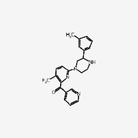 Cc1cccc(C2CN(c3ccc(C(F)(F)F)c(C(=O)c4cccnc4)n3)CCN2)c1